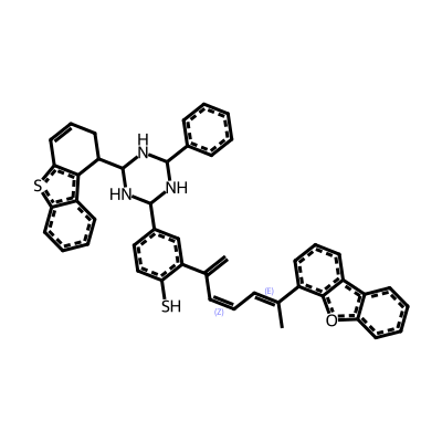 C=C(/C=C\C=C(/C)c1cccc2c1oc1ccccc12)c1cc(C2NC(c3ccccc3)NC(C3CC=Cc4sc5ccccc5c43)N2)ccc1S